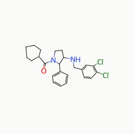 O=C(C1CCCCC1)N1CCC(NCc2ccc(Cl)c(Cl)c2)C1c1ccccc1